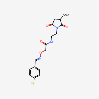 CSC1CC(=O)N(CCNC(=O)CO/N=C/c2ccc([18F])cc2)C1=O